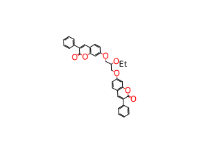 CCOC(COc1ccc2cc(-c3ccccc3)c(=O)oc2c1)COc1ccc2cc(-c3ccccc3)c(=O)oc2c1